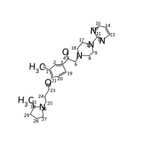 Cc1cc(C(=O)CN2CCN(c3ncccn3)CC2)ccc1OCCCN1CCC[C@H]1C